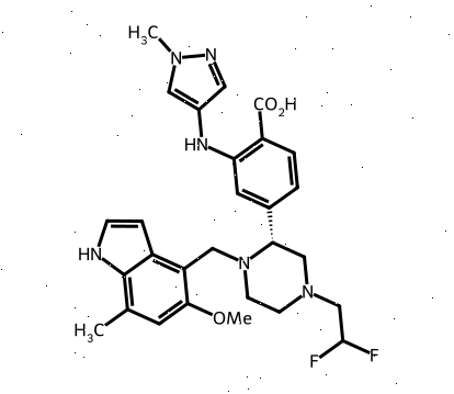 COc1cc(C)c2[nH]ccc2c1CN1CCN(CC(F)F)C[C@H]1c1ccc(C(=O)O)c(Nc2cnn(C)c2)c1